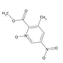 COC(=O)c1c(C)cc([N+](=O)[O-])c[n+]1[O-]